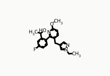 CCn1cc(Cc2ccc(OC)nc2-c2ccc(F)cc2C(C)O)cn1